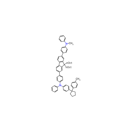 CCCCCCCCC1(CCCCCCCC)c2cc(-c3ccc(N(C)c4ccccc4)cc3)ccc2-c2ccc(-c3ccc(N(c4ccccc4)c4ccc(C5(c6ccc(C)cc6)CCCC5)cc4)cc3)cc21